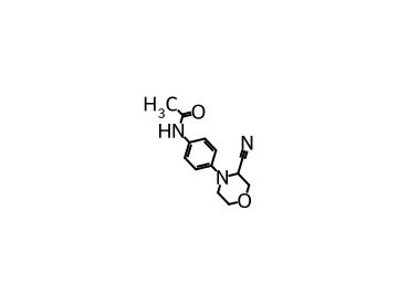 CC(=O)Nc1ccc(N2CCOCC2C#N)cc1